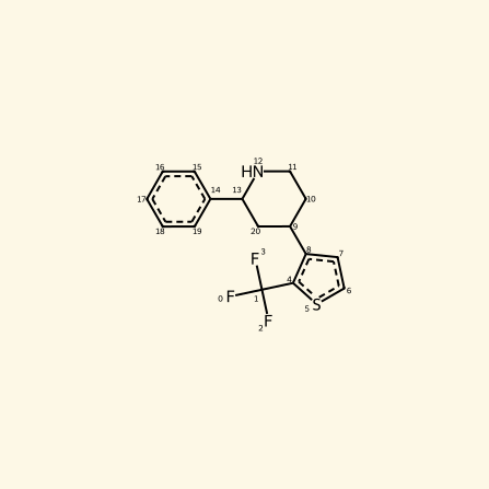 FC(F)(F)c1sccc1C1CCNC(c2ccccc2)C1